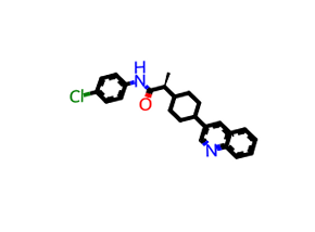 C[C@H](C(=O)Nc1ccc(Cl)cc1)C1CCC(c2cnc3ccccc3c2)CC1